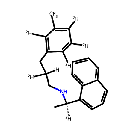 [2H]c1c([2H])c(CC([2H])([2H])CN[C@]([2H])(C)c2cccc3ccccc23)c([2H])c(C(F)(F)F)c1[2H]